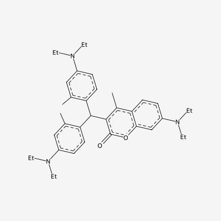 CCN(CC)c1ccc(C(c2ccc(N(CC)CC)cc2C)c2c(C)c3ccc(N(CC)CC)cc3oc2=O)c(C)c1